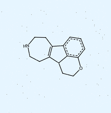 c1cc2c3c(c1)C1=C(CCNCC1)C3CCO2